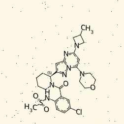 CC1CN(c2cc(N3CCOCC3)n3nc([C@@H]4CCCCN4C(=O)c4cc(Cl)ccc4NS(C)(=O)=O)cc3n2)C1